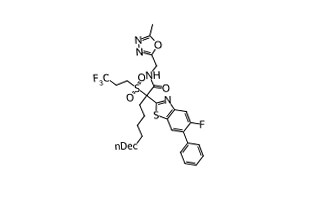 CCCCCCCCCCCCCCC(C(=O)NCc1nnc(C)o1)(c1nc2cc(F)c(-c3ccccc3)cc2s1)S(=O)(=O)CCC(F)(F)F